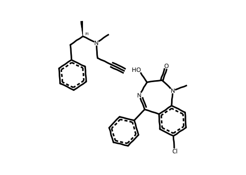 C#CCN(C)[C@H](C)Cc1ccccc1.CN1C(=O)C(O)N=C(c2ccccc2)c2cc(Cl)ccc21